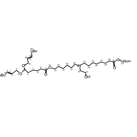 CCCC/C=C/COC(CCCCC(=O)OCCCCCCN(CCO)CCCCCCCC(=O)OCCCCCCCCC)OC/C=C/CCCC